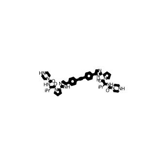 CC(C)[C@H](NC(=O)N1CCNCC1)C(=O)N1CCC[C@H]1c1ncc(-c2ccc(C#Cc3ccc(-c4cnc([C@@H]5CCCN5C(=O)[C@@H](NC(=O)N5CCNCC5)C(C)C)[nH]4)cc3)cc2)[nH]1